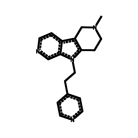 CN1CCc2c(c3ccncc3n2CCc2ccncc2)C1